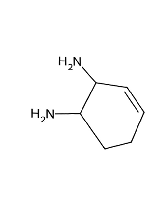 NC1C=CCCC1N